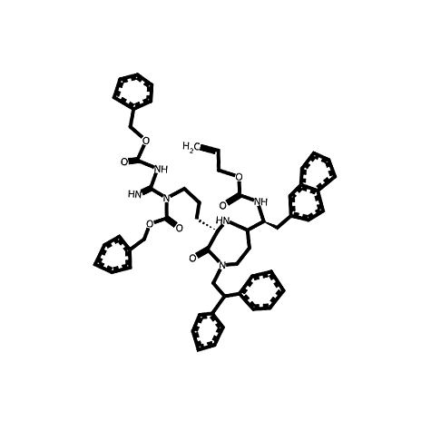 C=CCOC(=O)N[C@@H](Cc1ccc2ccccc2c1)C1CCN(CC(c2ccccc2)c2ccccc2)C(=O)[C@H](CCCN(C(=N)NC(=O)OCc2ccccc2)C(=O)OCc2ccccc2)N1